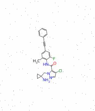 Cc1cc(C#Cc2ccccc2)cc(F)c1NC(=O)c1c(Cl)cnn1CC1(N)CC1